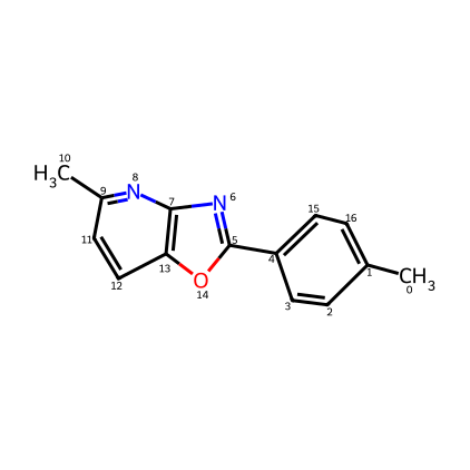 Cc1ccc(-c2nc3nc(C)ccc3o2)cc1